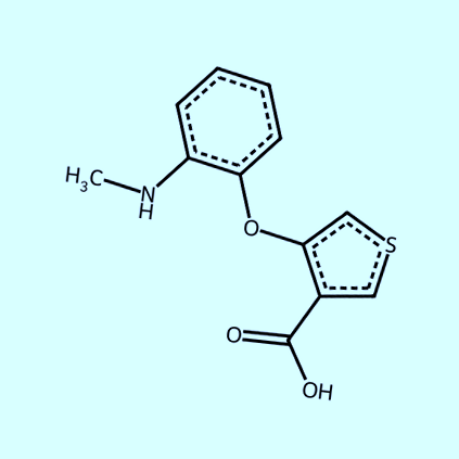 CNc1ccccc1Oc1cscc1C(=O)O